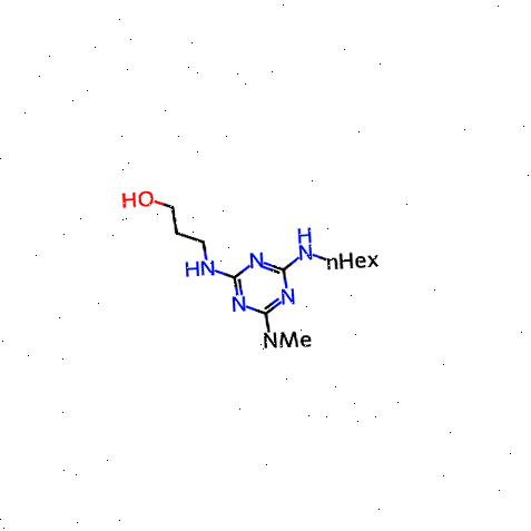 CCCCCCNc1nc(NC)nc(NCCCO)n1